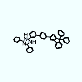 C1=CCCC(C2=NC(C3=CCCC=C3)NC(C3=CC(c4ccc(-c5ccc6c(c5)-c5ccccc5C6(C5=CCCC=C5)c5ccccc5)cc4)CC=C3)N2)=C1